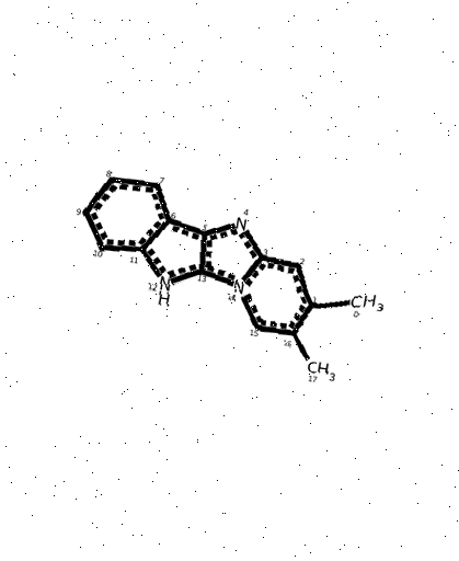 Cc1cc2nc3c4ccccc4[nH]c3n2cc1C